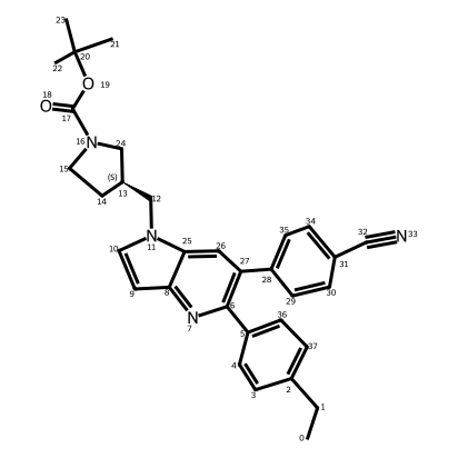 CCc1ccc(-c2nc3ccn(C[C@H]4CCN(C(=O)OC(C)(C)C)C4)c3cc2-c2ccc(C#N)cc2)cc1